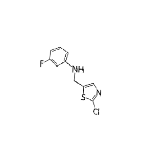 Fc1cccc(NCc2cnc(Cl)s2)c1